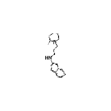 CC1CCCCN1CCCNc1ccc2ccccc2c1